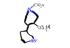 O=C(O)C1=C(C2CC=CNC2)C=CN(C(=O)O)C1